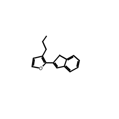 CCCc1ccoc1C1=Cc2ccccc2[CH]1